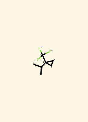 CC(C)C1(C(F)(F)F)CC1